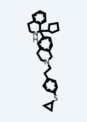 c1ccc2c(c1)CCNC2(c1ccc2c(c1)CCN(CCc1ccc(SC3CC3)cc1)C2)C1CCCC1